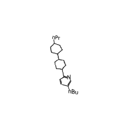 CCCCc1ccc(C2CCC(C3CCC(CCC)CC3)CC2)nc1